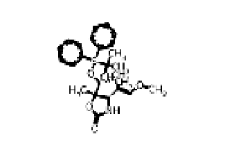 CC[C@@H](O[Si](c1ccccc1)(c1ccccc1)C(C)(C)C)[C@@]1(C)OC(=O)N[C@@H]1/C(C)=C/OC